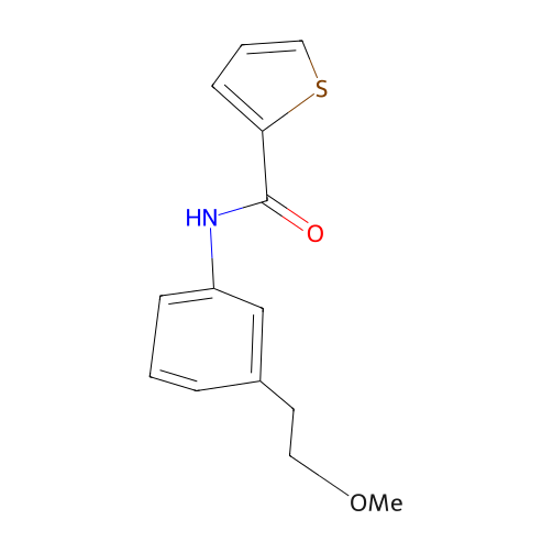 COCCc1cccc(NC(=O)c2cccs2)c1